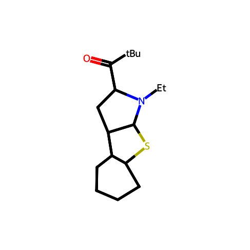 CCN1C(C(=O)C(C)(C)C)CC2C3CCCCC3SC21